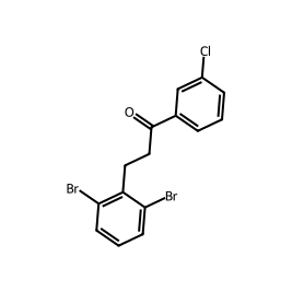 O=C(CCc1c(Br)cccc1Br)c1cccc(Cl)c1